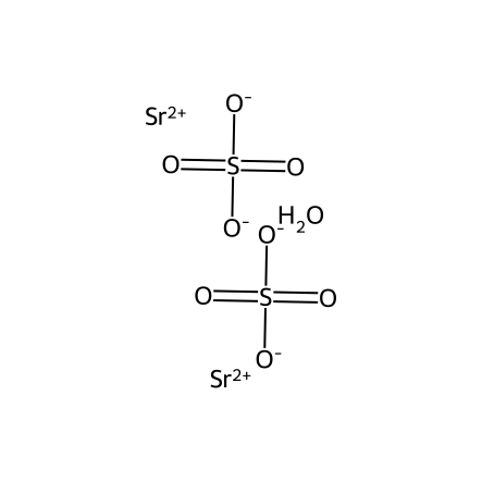 O.O=S(=O)([O-])[O-].O=S(=O)([O-])[O-].[Sr+2].[Sr+2]